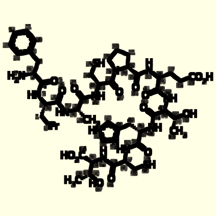 CC(C)C[C@H](NC(=O)[C@@H](N)Cc1ccccc1)C(=O)N[C@@H](C)C(=O)N[C@@H](CS)C(=O)N1CCC[C@H]1C(=O)N[C@@H](CCC(=O)O)C(=O)N[C@H](C(=O)N[C@@H](Cc1c[nH]cn1)C(=O)N[C@@H](CS)C(=O)N[C@H](C(=O)O)[C@@H](C)O)[C@@H](C)O